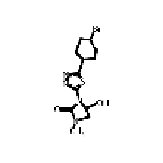 CN1CC(O)N(c2nnc(C3CCC(Br)CC3)s2)C1=O